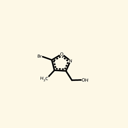 Cc1c(CO)noc1Br